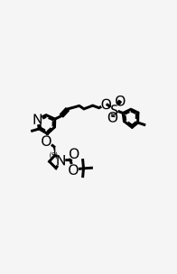 Cc1ccc(S(=O)(=O)OCCCCC#Cc2cnc(C)c(OC[C@@H]3CCN3C(=O)OC(C)(C)C)c2)cc1